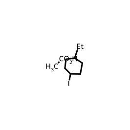 CC(=O)O.CCC1CCC(I)CC1